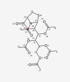 CC(=O)OCC(OC(C)=O)C(OC(C)=O)C(OC(C)=O)C1OC(=O)C2CSC1N2C(C)=O